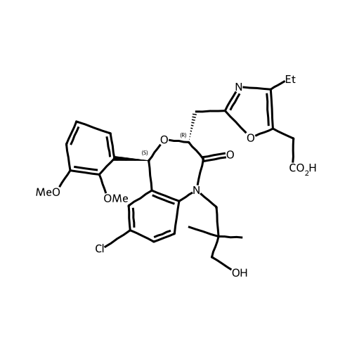 CCc1nc(C[C@H]2O[C@H](c3cccc(OC)c3OC)c3cc(Cl)ccc3N(CC(C)(C)CO)C2=O)oc1CC(=O)O